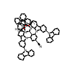 Cc1nc(C)nc(-c2c(-n3c4cc(-n5c6ccccc6c6ccccc65)ccc4c4ccc(-n5c6ccccc6c6ccccc65)cc43)cc(C#N)cc2-n2c3cc(-n4c5ccccc5c5ccccc54)ccc3c3ccc(-n4c5ccccc5c5ccccc54)cc32)n1